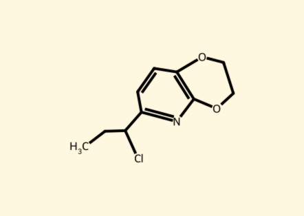 CCC(Cl)c1ccc2c(n1)OCCO2